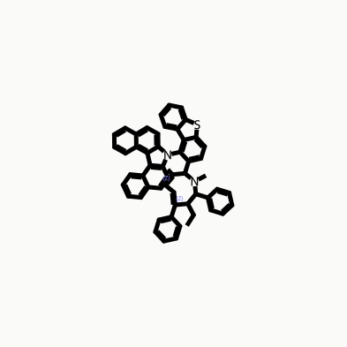 CCC1/C(c2ccccc2)=C/C=C(/C)C(c2ccc3sc4ccccc4c3c2-n2c3ccc4ccccc4c3c3c4ccccc4ccc32)N(C)C1c1ccccc1